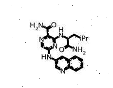 CC(C)CC(Nc1nc(Nc2cnc3ccccc3c2)cnc1C(N)=O)C(N)=O